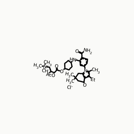 CCc1c2c(n(-c3ccc(C(N)=O)c(NC4CCC(OC(=O)CC(C[N+](C)(C)C)OC(C)=O)CC4)c3)c1C)CC(C)(C)CC2=O.[Cl-]